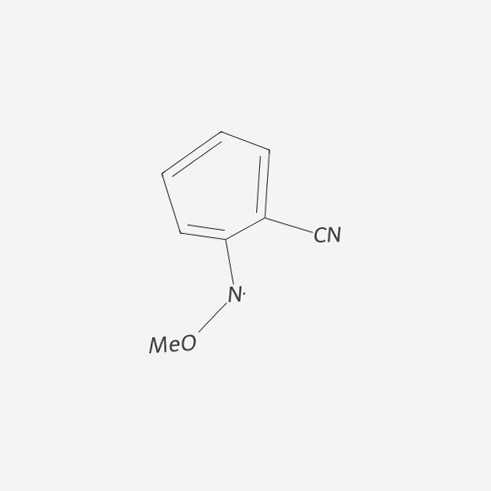 CO[N]c1ccccc1C#N